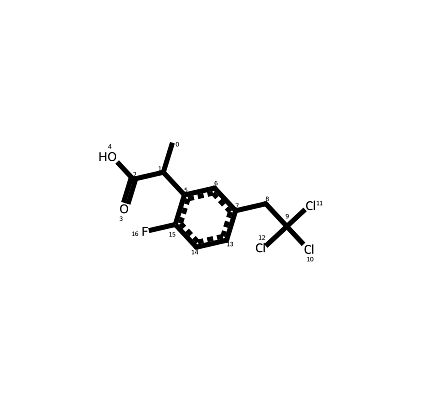 CC(C(=O)O)c1cc(CC(Cl)(Cl)Cl)ccc1F